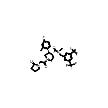 Cc1cc(F)ccc1[C@@H]1CN(C(=O)CN2CCCC2=O)CC[C@H]1C(=O)N(C)Cc1cc(C(F)(F)F)cc(C(F)(F)F)c1